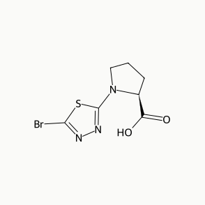 O=C(O)[C@@H]1CCCN1c1nnc(Br)s1